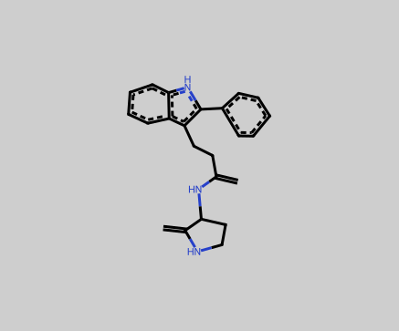 C=C(CCc1c(-c2ccccc2)[nH]c2ccccc12)NC1CCNC1=C